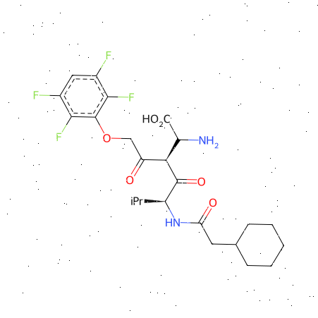 CC(C)[C@H](NC(=O)CC1CCCCC1)C(=O)[C@@H](C(=O)COc1c(F)c(F)cc(F)c1F)C(N)C(=O)O